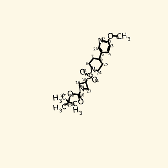 COc1ccc(C2CCN(S(=O)(=O)C3CN(C(=O)OC(C)(C)C)C3)CC2)cn1